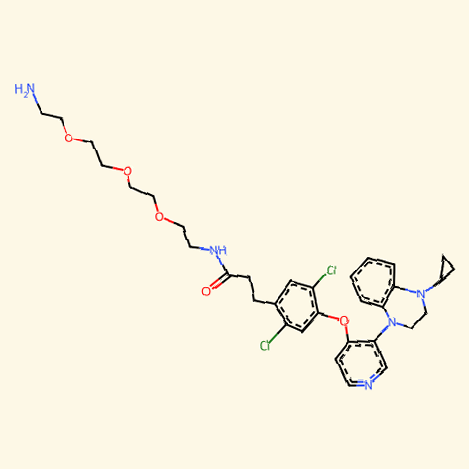 NCCOCCOCCOCCNC(=O)CCc1cc(Cl)c(Oc2ccncc2N2CCN(C3CC3)c3ccccc32)cc1Cl